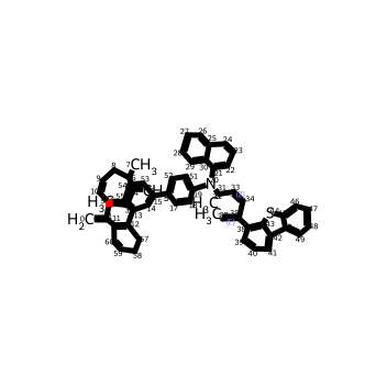 C=C(C1=CC(C)C(C)CC=C1)C1=C(c2cc(-c3ccc(N(c4cccc5ccccc45)C(C)/C=C\C(=C/C)c4cccc5c4sc4ccccc45)cc3)ccc2C)CCC=C1